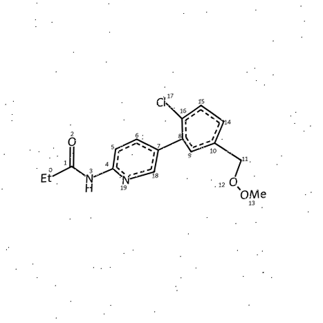 CCC(=O)Nc1ccc(-c2cc(COOC)ccc2Cl)cn1